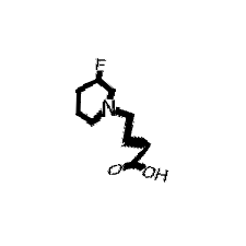 O=C(O)C=CCN1CCCC(F)C1